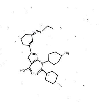 CCO/N=C1\C=C(c2cc(N(C(=O)[C@H]3CC[C@H](C)CC3)[C@H]3CC[C@H](O)CC3)c(C(=O)O)s2)CCC1